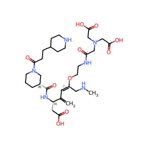 C=C(/C=C(\CNC)OCCNC(=O)CN(CC(=O)O)CC(=O)O)[C@H](CC(=O)O)NC(=O)[C@@H]1CCCN(C(=O)CCC2CCNCC2)C1